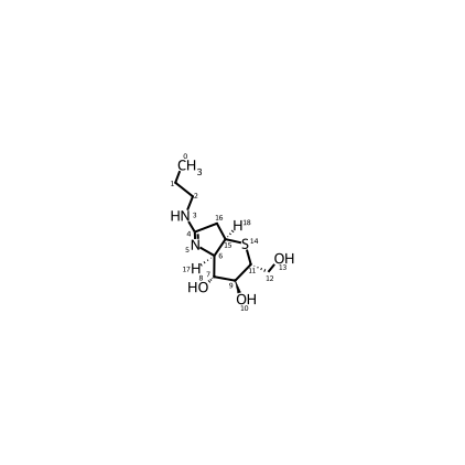 CCCNC1=N[C@@H]2[C@@H](O)[C@H](O)[C@@H](CO)S[C@@H]2C1